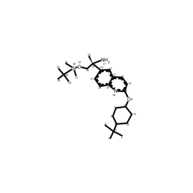 CC(C)(C)C1CCC(Oc2ccc3cc([C@@](C)(N)CO[Si](C)(C)C(C)(C)C)ccc3n2)CC1